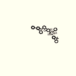 CC1(C)C2=C(CCCC2)c2ccc([C@H]3NC(C4=CC=CCC4)NC(C)(C4C=CC5=C(C4)OC4C(N6c7ccc(-c8ccccc8)cc7C7C=CC=CC76)=CC=CC54)N3)cc21